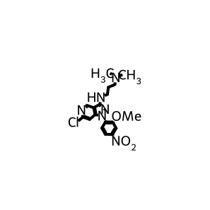 COc1cc([N+](=O)[O-])ccc1-n1nc(NCCCN(C)C)c2cnc(Cl)cc21